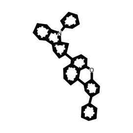 c1ccc(-c2ccc3c(c2)-c2cccc4c(-c5ccc6c7ccccc7n(-c7ccccc7)c6c5)ccc(c24)O3)cc1